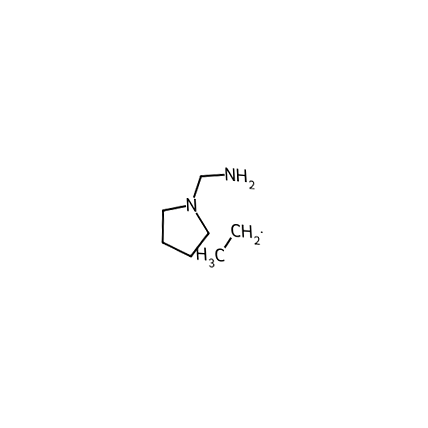 NCN1CCCC1.[CH2]C